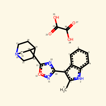 Cc1[nH]c2ccccc2c1-c1noc(C2CN3CCC2CC3)n1.O=C(O)C(=O)O